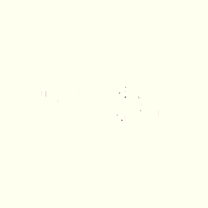 CC(C)(C)OC(=O)NC(=N)c1ccc(C(=O)O)cc1